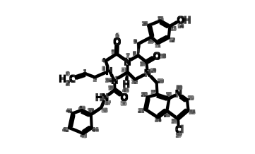 C=CCN1CC(=O)N2[C@@H](Cc3ccc(O)cc3)C(=O)N(Cc3cccc4c(Cl)ccnc34)C[C@@H]2N1C(=O)NCc1ccccc1